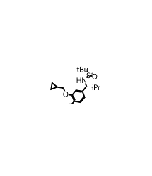 CC(C)[C@@H](N[S@@+]([O-])C(C)(C)C)c1ccc(F)c(OCC2CC2)c1